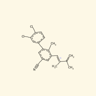 C=C(C)/C(C)=C/c1cc(C#N)cc(-c2ccc(Cl)c(Cl)c2)c1C